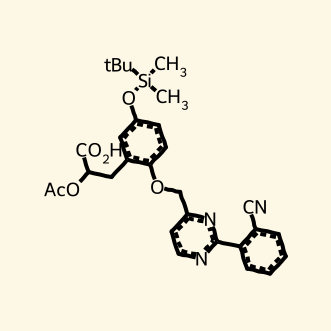 CC(=O)OC(Cc1cc(O[Si](C)(C)C(C)(C)C)ccc1OCc1ccnc(-c2ccccc2C#N)n1)C(=O)O